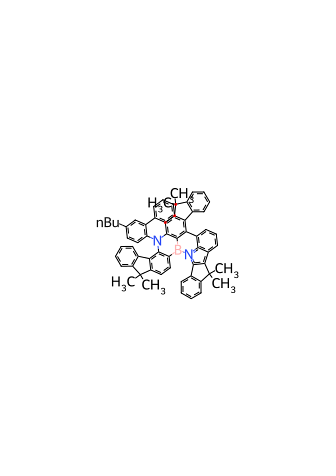 CCCCc1ccc(N2c3cc4c(c5c3B(c3ccc6c(c32)-c2ccccc2C6(C)C)n2c3c(c6cccc-5c62)C(C)(C)c2ccccc2-3)-c2ccccc2C4(C)C)c(-c2ccccc2)c1